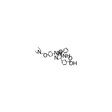 CCN(CC)CCOc1ccc(Nc2ncc(-c3cccc(C(=O)O)c3)c(Nc3ccccc3OC)n2)cc1